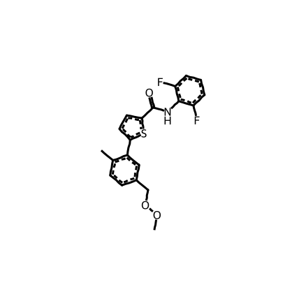 COOCc1ccc(C)c(-c2ccc(C(=O)Nc3c(F)cccc3F)s2)c1